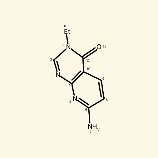 CCn1cnc2nc(N)ccc2c1=O